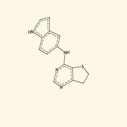 c1nc2c(c(Nc3ccc4[nH]ccc4c3)n1)SCC2